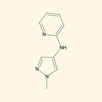 Cn1cc(Nc2ccccn2)cn1